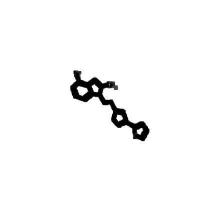 CC1=Cc2c(Br)cccc2C1CCC1=CC(c2cccs2)=CC1